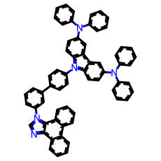 c1ccc(N(c2ccccc2)c2ccc3c(c2)c2cc(N(c4ccccc4)c4ccccc4)ccc2n3-c2ccc(-c3cccc(-n4cnc5c6ccccc6c6ccccc6c54)c3)cc2)cc1